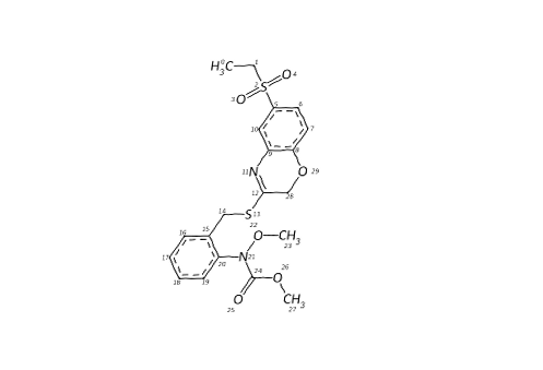 CCS(=O)(=O)c1ccc2c(c1)N=C(SCc1ccccc1N(OC)C(=O)OC)CO2